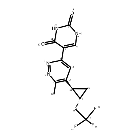 Cc1nnc(-c2c[nH]c(=O)[nH]c2=O)cc1[C@H]1C[C@@H]1CC(F)(F)F